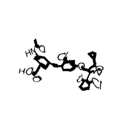 CC(=O)Nc1cc(C#Cc2ccc(OCc3c(-c4c(Cl)cccc4Cl)noc3C3CC3)cc2Cl)cc(C(=O)O)c1